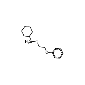 c1ccc(OCCO[SiH2]C2CCCCC2)cc1